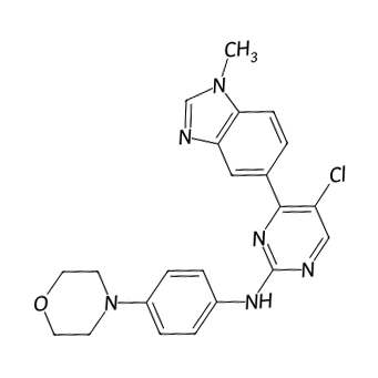 Cn1cnc2cc(-c3nc(Nc4ccc(N5CCOCC5)cc4)ncc3Cl)ccc21